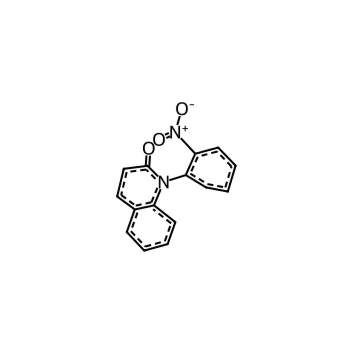 O=c1ccc2ccccc2n1-c1ccccc1[N+](=O)[O-]